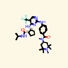 CC(C)NC(=O)[C@H]1CCC[C@H]1Nc1nc(Nc2ccc(C(=O)N(C)C3CC(C)(C)N(C)C(C)(C)C3)cc2)ncc1C(F)(F)F